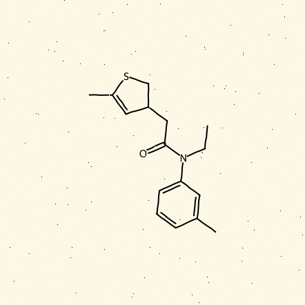 CCN(C(=O)CC1C=C(C)SC1)c1cccc(C)c1